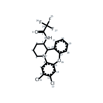 O=C(NC1CCCN2c3cc(Cl)c(Cl)cc3Oc3ccccc3C12)C(F)(F)F